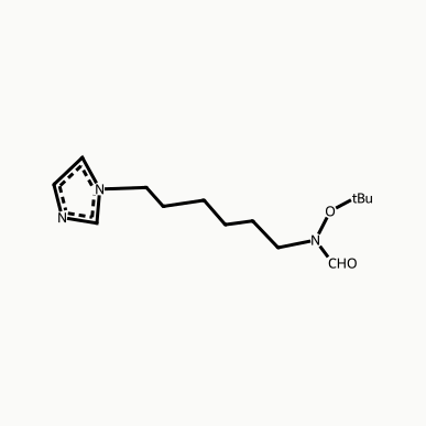 CC(C)(C)ON(C=O)CCCCCCn1ccnc1